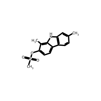 Cc1ccc2c(c1)[nH]c1c(C)c(OS(C)(=O)=O)ccc12